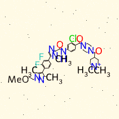 COCCn1nc(C)c(-c2ccc(-c3cnc(C(=O)Nc4ccc(C(=O)N5CCN(C(=O)C6CC[N+](C)(C)CC6)CC5)c(Cl)c4)n3C)c(F)c2F)c1C